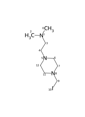 CN(C)CCN1CCN(CI)CC1